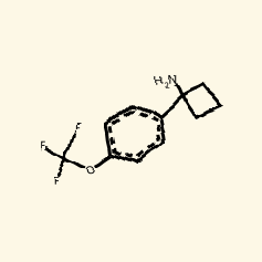 NC1(c2ccc(OC(F)(F)F)cc2)CCC1